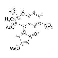 COC1=CC(=O)N([C@@H]2c3cc([N+](=O)[O-])ccc3OC(C)(C)[C@H]2OC(C)=O)C1